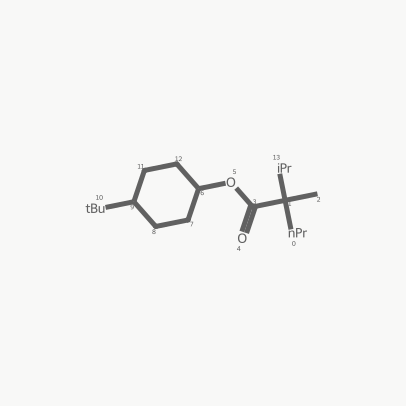 CCCC(C)(C(=O)OC1CCC(C(C)(C)C)CC1)C(C)C